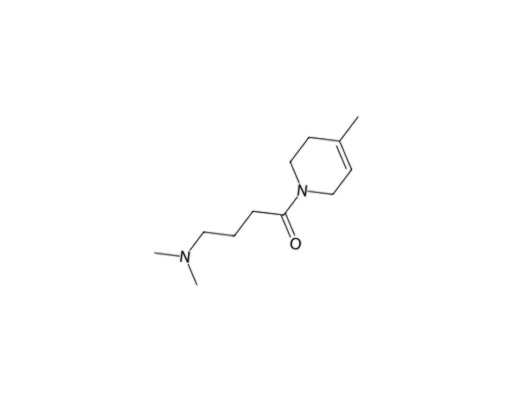 CC1=CCN(C(=O)CCCN(C)C)CC1